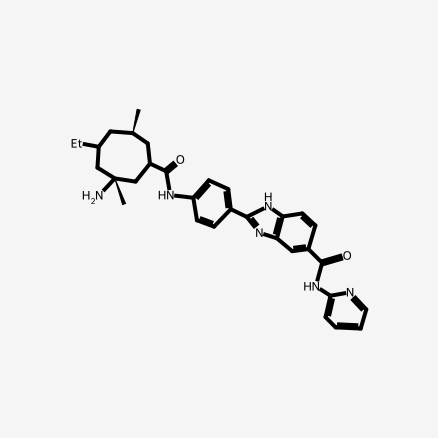 CCC1C[C@@H](C)CC(C(=O)Nc2ccc(-c3nc4cc(C(=O)Nc5ccccn5)ccc4[nH]3)cc2)C[C@](C)(N)C1